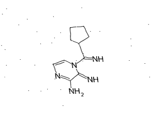 N=C(C1CCCC1)n1ccnc(N)c1=N